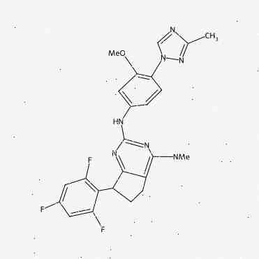 CNc1nc(Nc2ccc(-n3cnc(C)n3)c(OC)c2)nc2c1CCC2c1c(F)cc(F)cc1F